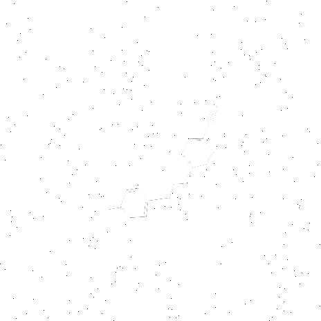 N#Cc1ccc(CCC(Cl)c2ccc(F)cc2)cc1